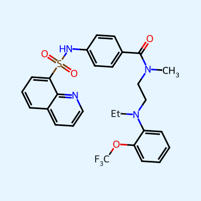 CCN(CCN(C)C(=O)c1ccc(NS(=O)(=O)c2cccc3cccnc23)cc1)c1ccccc1OC(F)(F)F